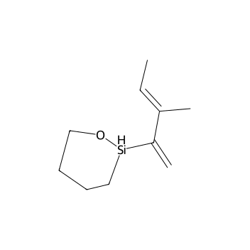 C=C(C(C)=CC)[SiH]1CCCCO1